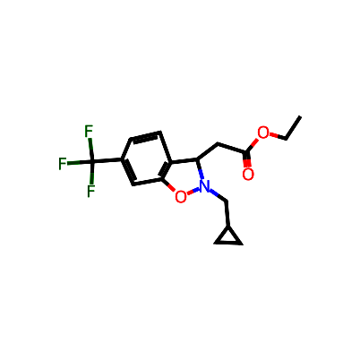 CCOC(=O)CC1c2ccc(C(F)(F)F)cc2ON1CC1CC1